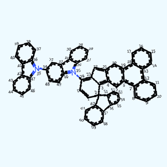 C1=CC2(C3=c4cc5c6ccccc6c6ccccc6c5cc4=CC3=C1n1c3ccccc3c3cc(-n4c5ccccc5c5ccccc54)ccc31)c1ccccc1-c1ccccc12